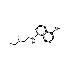 CCNCCNc1cccc2c(S)cccc12